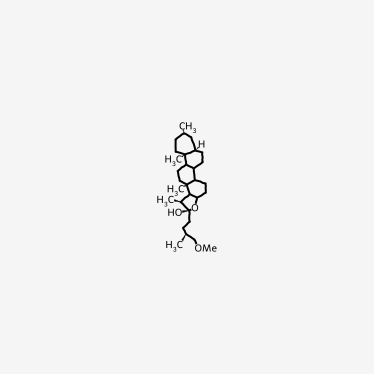 COC[C@@H](C)CC[C@@]1(O)OC2CCC3C4CC[C@@H]5C[C@@H](C)CC[C@]5(C)C4CC[C@]3(C)C2[C@@H]1C